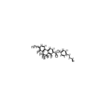 C=CCCc1ccc(OC(=O)c2ccc3c(c2F)C(F)(F)C(F)(F)c2c-3ccc(CCC)c2F)cc1